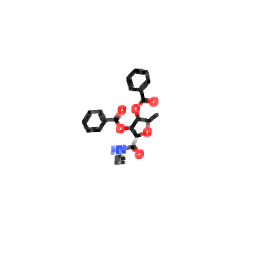 CCNC(=O)[C@H]1OC(C)[C@H](OC(=O)c2ccccc2)[C@@H]1OC(=O)c1ccccc1